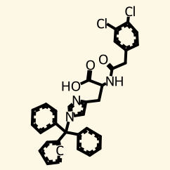 O=C(Cc1ccc(Cl)c(Cl)c1)NC(Cc1cn(C(c2ccccc2)(c2ccccc2)c2ccccc2)cn1)C(=O)O